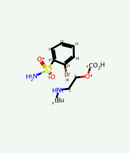 CC(C)(C)NCCOC(=O)O.NS(=O)(=O)c1ccccc1Br